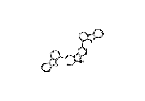 C=Cc1[nH]c2ccc(-c3cccc4c3oc3ccccc34)cc2c1/C=C/c1cccc2c1oc1ccccc12